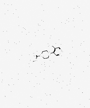 CC(C)(C)OC(=O)N1CCN(c2cnncc2Cl)CC1